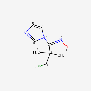 CC(C)(CF)C(=NO)n1ccnc1